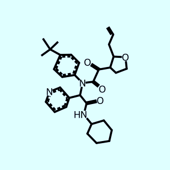 C=CCC1OCCC1C(=O)C(=O)N(c1ccc(C(C)(C)C)cc1)C(C(=O)NC1CCCCC1)c1cccnc1